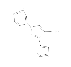 O=Cc1cn(-c2ccccc2)nc1-c1cccs1